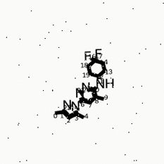 Cc1cc(C)n(-c2cc(C)c(NC3CCC(F)(F)CC3)nn2)n1